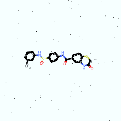 C[C@H]1Sc2ccc(C(=O)Nc3ccc([S+]([O-])Nc4cccc(C(F)(F)F)c4)cc3)cc2NC1=O